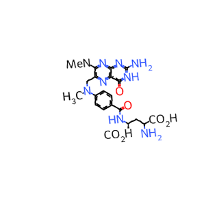 CNc1nc2nc(N)[nH]c(=O)c2nc1CN(C)c1ccc(C(=O)N[C@@H](CC(N)C(=O)O)C(=O)O)cc1